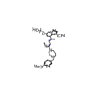 C=N/C(=C\C=C(/C)c1cc(OCC(C)(C)O)cn2ncc(C#N)c12)N1CCCN(Cc2ccc(OC)nc2)CC1